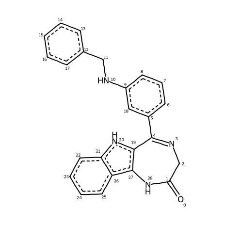 O=C1CN=C(c2cccc(NCc3ccccc3)c2)c2[nH]c3ccccc3c2N1